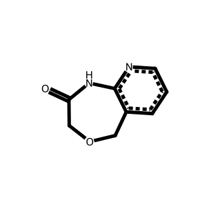 O=C1COCc2cccnc2N1